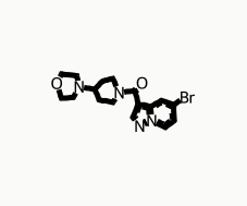 O=C(c1cnn2ccc(Br)cc12)N1CCC(N2CCOCC2)CC1